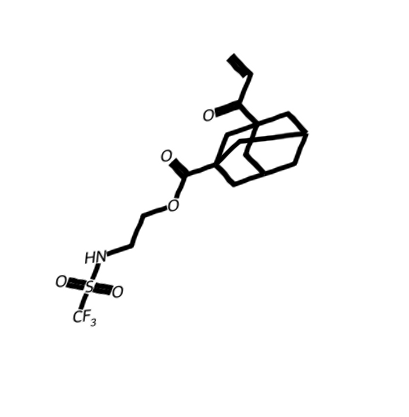 C=CC(=O)C12CC3CC(C1)CC(C(=O)OCCNS(=O)(=O)C(F)(F)F)(C3)C2